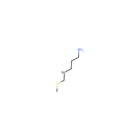 CS[CH2][Sn][CH2]CCN